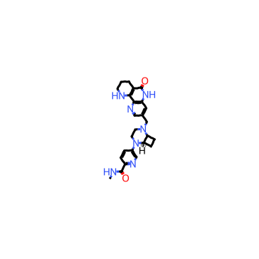 CNC(=O)c1ccc(N2CCN(Cc3cnc4c5c(c(=O)[nH]c4c3)CCCN5)C3CC[C@H]32)cn1